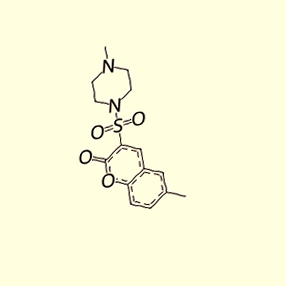 Cc1ccc2oc(=O)c(S(=O)(=O)N3CCN(C)CC3)cc2c1